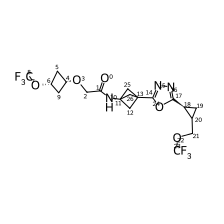 O=C(CO[C@H]1C[C@@H](OC(F)(F)F)C1)NC12CC(c3nnc([C@H]4CC4COC(F)(F)F)o3)(C1)C2